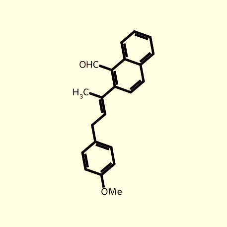 COc1ccc(CC=C(C)c2ccc3ccccc3c2C=O)cc1